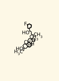 CC[C@]1(O)CC[C@@]2(C)C(=CC[C@H]3[C@@H]4CC[C@H]([C@H](C)CCC(O)c5cccc(F)c5)[C@@]4(C)CC[C@@H]32)C1